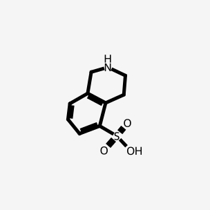 O=S(=O)(O)c1cccc2c1CCNC2